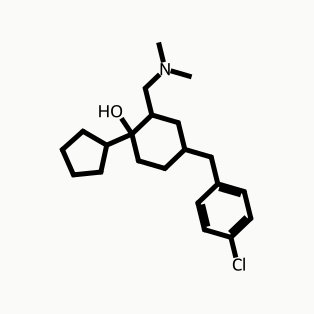 CN(C)CC1CC(Cc2ccc(Cl)cc2)CCC1(O)C1CCCC1